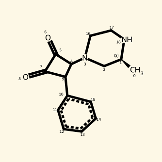 C[C@H]1CN(C2C(=O)C(=O)C2c2ccccc2)CCN1